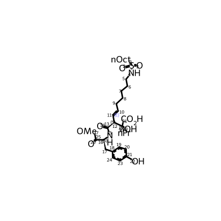 CCCCCCCCS(=O)(=O)NCCCCC/C=C/[C@H](C(=O)N[C@@H](Cc1ccc(O)cc1)C(=O)OC)[C@@](O)(CCC)C(=O)O